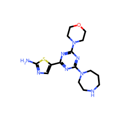 Nc1ncc(-c2nc(N3CCCNCC3)nc(N3CCOCC3)n2)s1